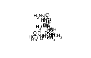 CC(C)C[C@H](NC(=O)CNC(=O)[C@H](CC(C)C)NC(=O)[C@@H]1CCCN1C(=O)CN)C(=O)N[C@@H](C)C(=O)NCC(=O)N[C@@H](CS)C(=O)O